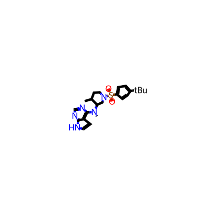 CC1CCN(S(=O)(=O)c2ccc(C(C)(C)C)cc2)CC1N(C)c1ncnc2[nH]ccc12